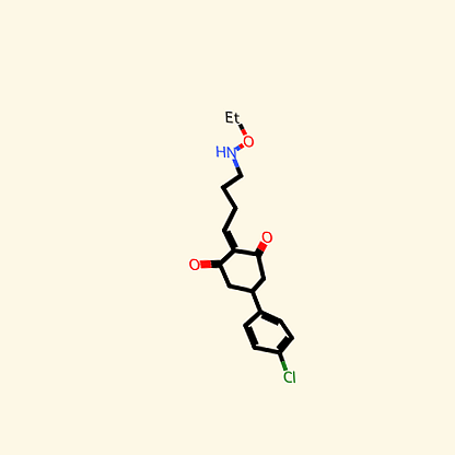 CCONCCCC=C1C(=O)CC(c2ccc(Cl)cc2)CC1=O